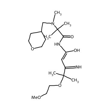 COCCOC(C)(C)C(=N)/C=C(\O)NC(=O)C(C)(C)N(C)CC1CCOCC1